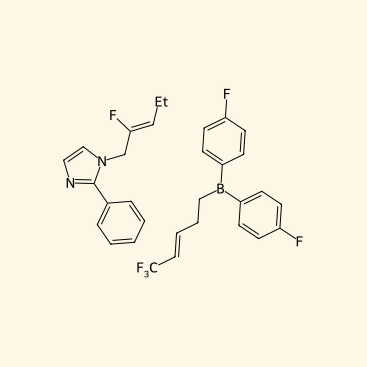 CCC=C(F)Cn1ccnc1-c1ccccc1.Fc1ccc(B(CCC=CC(F)(F)F)c2ccc(F)cc2)cc1